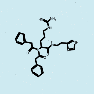 N=C(N)NCCCC(C(=O)NCCc1c[nH]cn1)N(C(=O)Cc1ccccc1)C(=O)Cc1ccccc1